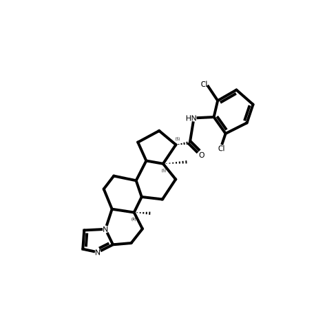 C[C@]12CCc3nccn3C1CCC1C2CC[C@@]2(C)C1CC[C@@H]2C(=O)Nc1c(Cl)cccc1Cl